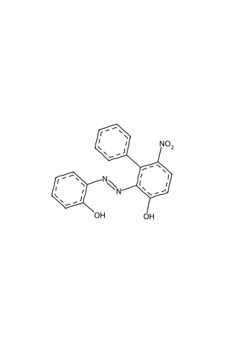 O=[N+]([O-])c1ccc(O)c(N=Nc2ccccc2O)c1-c1ccccc1